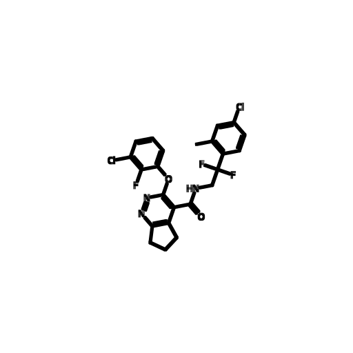 Cc1cc(Cl)ccc1C(F)(F)CNC(=O)c1c(Oc2cccc(Cl)c2F)nnc2c1CCC2